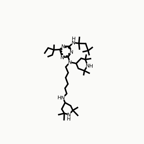 CCC(C)(CC)c1nc(NC(C)(C)CC(C)(C)C)nc(N(CCCCCCNC2CC(C)(C)NC(C)(C)C2)C2CC(C)(C)NC(C)(C)C2)n1